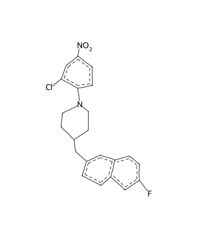 O=[N+]([O-])c1ccc(N2CCC(Cc3ccc4cc(F)ccc4c3)CC2)c(Cl)c1